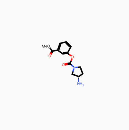 COC(=O)c1cccc(OC(=O)N2CC[C@@H](N)C2)c1